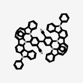 N#Cc1cc(-n2c3ccccc3c3ccc4c(c5ccccc5n4-c4ccccc4)c32)c(-n2c3ccccc3c3ccccc32)cc1-c1cc(-n2c3ccccc3c3ccccc32)c(-n2c3ccccc3c3ccc4c(c5ccccc5n4-c4ccccc4)c32)cc1C#N